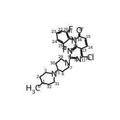 CC1CCN(C2CCN(c3nc(Cl)c4ccc(=O)n(-c5c(F)cccc5F)c4n3)CC2)CC1